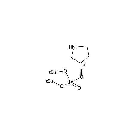 CC(C)(C)OP(=O)(O[C@@H]1CCNC1)OC(C)(C)C